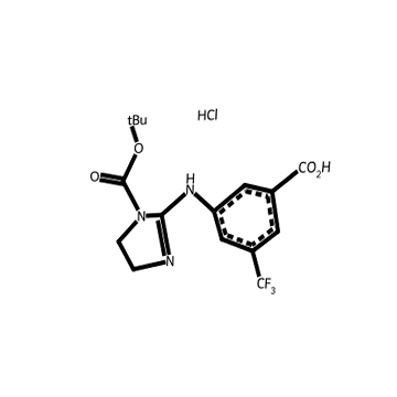 CC(C)(C)OC(=O)N1CCN=C1Nc1cc(C(=O)O)cc(C(F)(F)F)c1.Cl